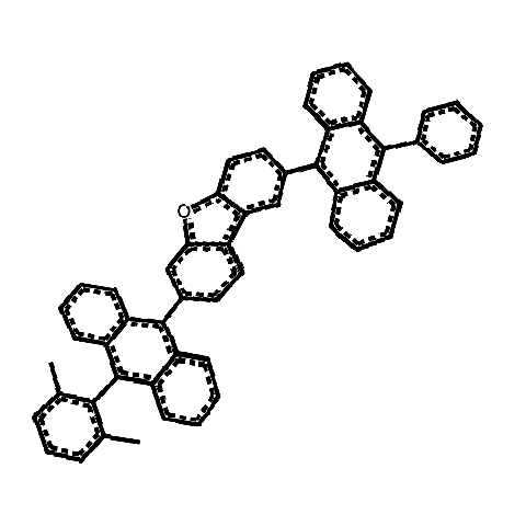 Cc1cccc(C)c1-c1c2ccccc2c(-c2ccc3c(c2)oc2ccc(-c4c5ccccc5c(-c5ccccc5)c5ccccc45)cc23)c2ccccc12